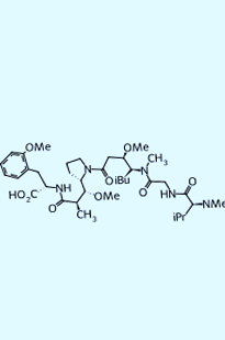 CC[C@H](C)[C@@H]([C@@H](CC(=O)N1CCC[C@H]1[C@H](OC)[C@@H](C)C(=O)N[C@@H](Cc1ccccc1OC)C(=O)O)OC)N(C)C(=O)CNC(=O)[C@@H](NC)C(C)C